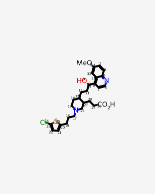 COc1ccc2nccc([C@@H](O)CCC3CCN(CCCc4ccc(Cl)s4)CC3CCC(=O)O)c2c1